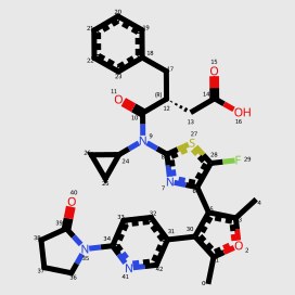 Cc1oc(C)c(-c2nc(N(C(=O)[C@@H](CC(=O)O)Cc3ccccc3)C3CC3)sc2F)c1-c1ccc(N2CCCC2=O)nc1